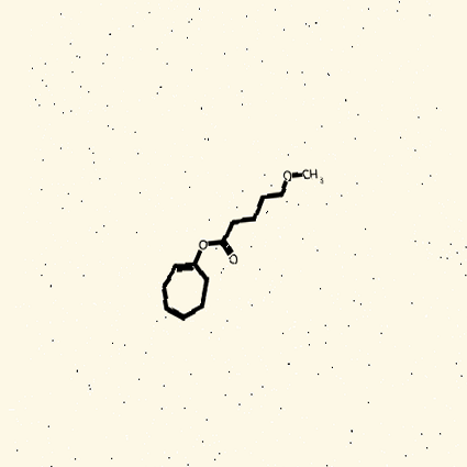 COCCCCC(=O)OC1=CCCCCC1